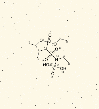 CCOP(=O)(OCC)C(CC)S(=O)(=O)N(CC)P(=O)(O)O